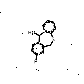 OC1c2ccc(F)cc2CSc2ccccc21